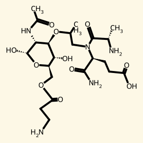 CC(=O)N[C@@H]1[C@@H](OC(C)CN(C(=O)[C@H](C)N)[C@@H](CCC(=O)O)C(N)=O)[C@H](O)[C@@H](COC(=O)CCN)O[C@@H]1O